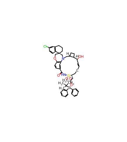 C[C@H](C[C@@H]1CC/C=C\[C@H](O)[C@@H]2CC[C@H]2CN2C[C@@]3(CCCc4cc(Cl)ccc43)COc3ccc(cc32)C(=O)NS1(=O)=O)O[Si](c1ccccc1)(c1ccccc1)C(C)(C)C